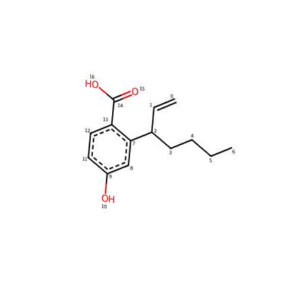 C=CC(CCCC)c1cc(O)ccc1C(=O)O